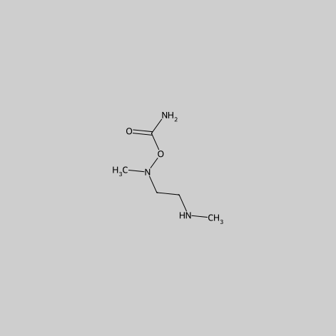 CNCCN(C)OC(N)=O